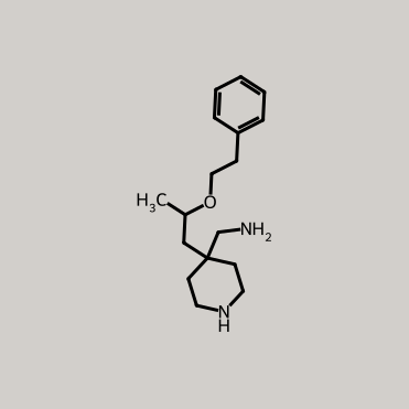 CC(CC1(CN)CCNCC1)OCCc1ccccc1